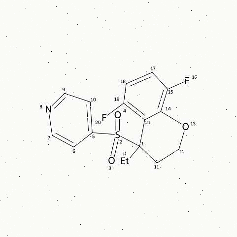 CCC1(S(=O)(=O)c2ccncc2)CCOc2c(F)ccc(F)c21